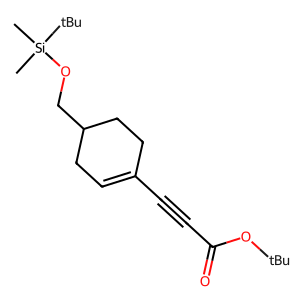 CC(C)(C)OC(=O)C#CC1=CCC(CO[Si](C)(C)C(C)(C)C)CC1